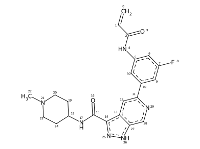 C=CC(=O)Nc1cc(F)cc(-c2cc3c(C(=O)NC4CCN(C)CC4)n[nH]c3cn2)c1